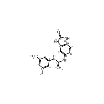 C=C(Nc1cc(C)cc(F)c1)Nc1ccc2[nH]c(=O)[nH]c2c1